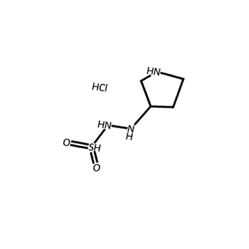 Cl.O=[SH](=O)NNC1CCNC1